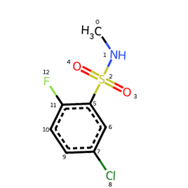 CNS(=O)(=O)c1cc(Cl)ccc1F